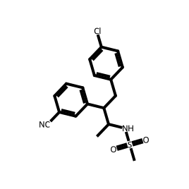 CC(NS(C)(=O)=O)C(Cc1ccc(Cl)cc1)c1cccc(C#N)c1